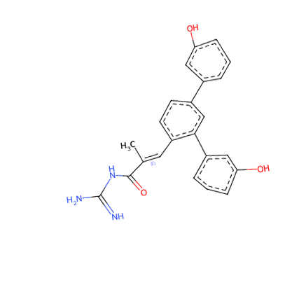 C/C(=C\c1ccc(-c2cccc(O)c2)cc1-c1cccc(O)c1)C(=O)NC(=N)N